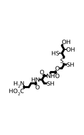 NC(CCC(=O)NC(CS)C(=O)NCC(=O)OCC(S)SC[C@@H](S)[C@H](O)CO)C(=O)O